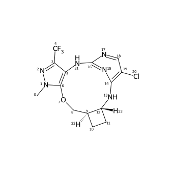 Cn1nc(C(F)(F)F)c2c1OC[C@@H]1CC[C@H]1Nc1nc(ncc1Cl)N2